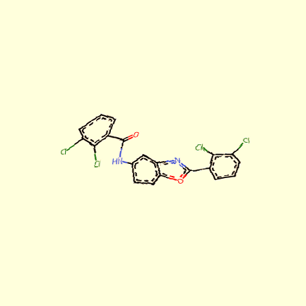 O=C(Nc1ccc2oc(-c3cccc(Cl)c3Cl)nc2c1)c1cccc(Cl)c1Cl